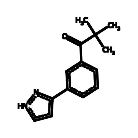 CC(C)(C)C(=O)c1cccc(-c2cc[nH]n2)c1